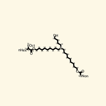 CCCCCCCCCC(=O)OCCCCCCCCCN(CCCCO)CCCCCCCCCOC(=O)C(CCCCCC)CCCCCCCC